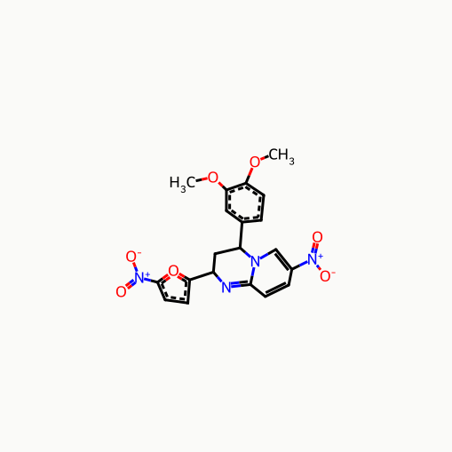 COc1ccc(C2CC(c3ccc([N+](=O)[O-])o3)N=C3C=CC([N+](=O)[O-])=CN32)cc1OC